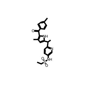 CCS(=O)(=O)Nc1ccc(C(C)c2cc(C)c(C(=O)c3ccc(C)cc3)[nH]2)nc1